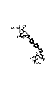 COC(=O)N[C@@H](CO)C(=O)N1C[C@H](F)C[C@H]1c1ncc(-c2ccc(-c3ccc(-c4cnc([C@@H]5C[C@@H](F)CN5C(=O)[C@H](CC(C)C)NC(=O)OC)[nH]4)cc3)cc2)[nH]1